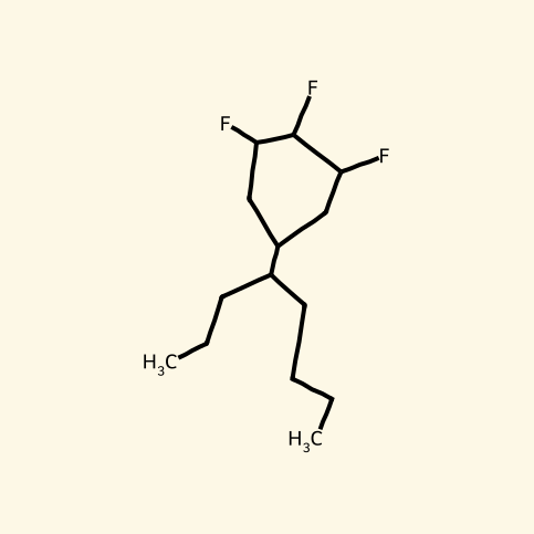 CCCCC(CCC)C1CC(F)C(F)C(F)C1